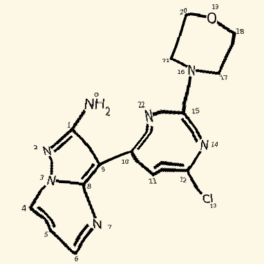 Nc1nn2cccnc2c1-c1cc(Cl)nc(N2CCOCC2)n1